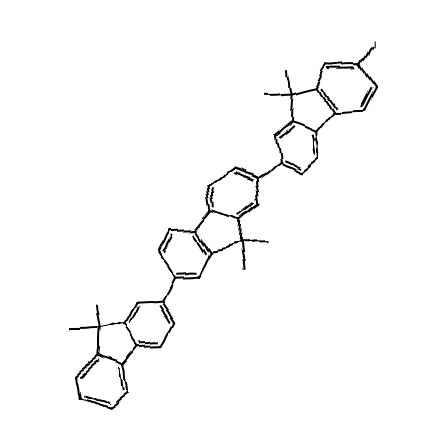 CC1(C)c2ccccc2-c2ccc(-c3ccc4c(c3)C(C)(C)c3cc(-c5ccc6c(c5)C(C)(C)c5cc(I)ccc5-6)ccc3-4)cc21